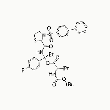 CCC(NC(=O)C1SCCN1S(=O)(=O)c1ccc(-c2ccccc2)cc1)(OC(=O)C(NC(=O)OC(C)(C)C)C(C)C)c1ccc(F)cc1